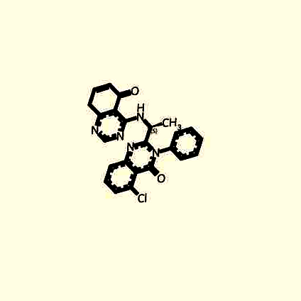 C[C@H](Nc1ncnc2c1C(=O)C=CC2)c1nc2cccc(Cl)c2c(=O)n1-c1ccccc1